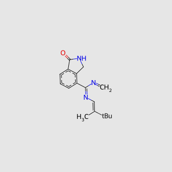 C=N/C(=N\C=C(/C)C(C)(C)C)c1cccc2c1CNC2=O